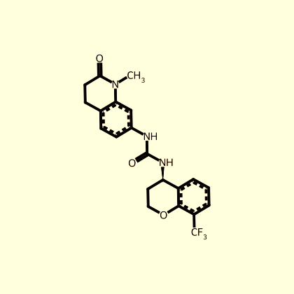 CN1C(=O)CCc2ccc(NC(=O)N[C@@H]3CCOc4c3cccc4C(F)(F)F)cc21